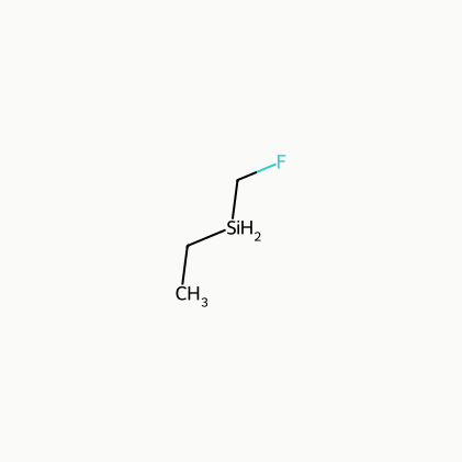 CC[SiH2]CF